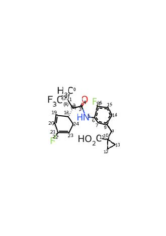 C[C@H]([C@H](C(=O)Nc1cc(CC2(C(=O)O)CC2)ccc1F)C1C=CC(F)=CC1)C(F)(F)F